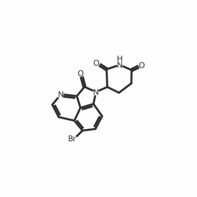 O=C1CCC(N2C(=O)c3nccc4c(Br)ccc2c34)C(=O)N1